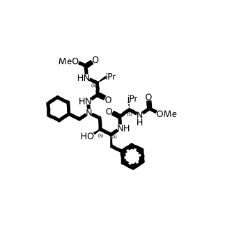 COC(=O)N[C@H](C(=O)N[C@@H](Cc1ccccc1)[C@@H](O)CN(CC1CCCCC1)NC(=O)[C@@H](NC(=O)OC)C(C)C)C(C)C